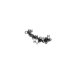 C[C@@H]1CN(c2ccc3c(c2)C(=O)N(C2CCC(=O)NC2=O)C3=O)C[C@@H](C)N1CCc1ccc(C(=O)NC2CCC(Oc3ccc(C#N)c(Cl)c3)CC2)cc1